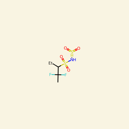 CCC(C(C)(F)F)S(=O)(=O)N[SH](=O)=O